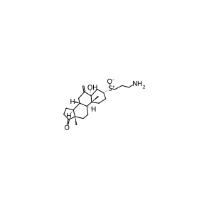 C=C1C[C@H]2[C@@H]3CCC(=O)[C@@]3(C)CC[C@@H]2[C@@]2(C)CC[C@@H]([S+]([O-])CCCN)C[C@]12O